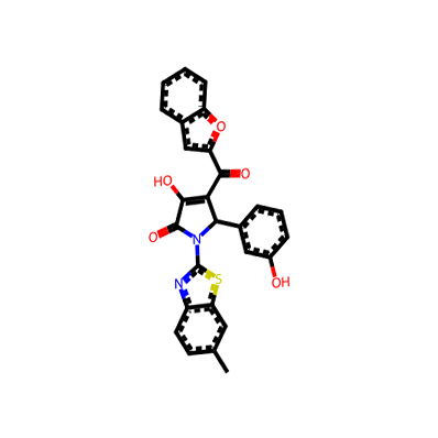 Cc1ccc2nc(N3C(=O)C(O)=C(C(=O)c4cc5ccccc5o4)C3c3cccc(O)c3)sc2c1